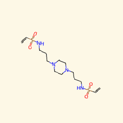 C=CS(=O)(=O)NCCCN1CCN(CCCNS(=O)(=O)C=C)CC1